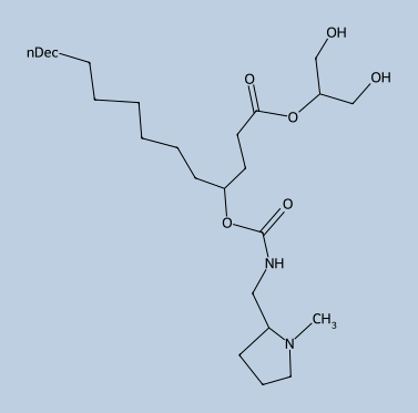 CCCCCCCCCCCCCCCCC(CCC(=O)OC(CO)CO)OC(=O)NCC1CCCN1C